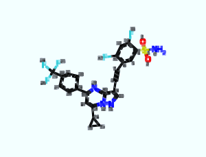 NS(=O)(=O)c1cc(C#Cc2cnn3c(C4CC4)cc(-c4ccc(C(F)(F)F)cc4)nc23)c(F)cc1F